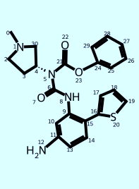 CN1CC[C@@H](N(C(=O)Nc2cc(N)ccc2-c2cccs2)C(=O)Oc2ccccc2)C1